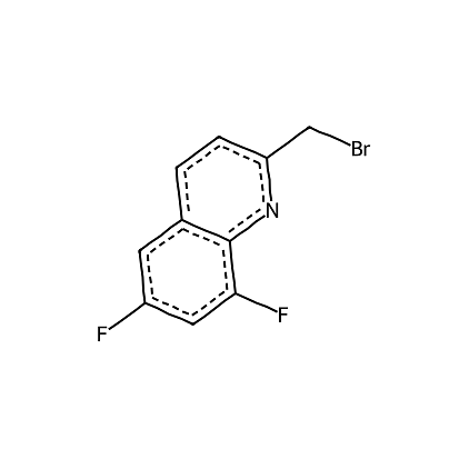 Fc1cc(F)c2nc(CBr)ccc2c1